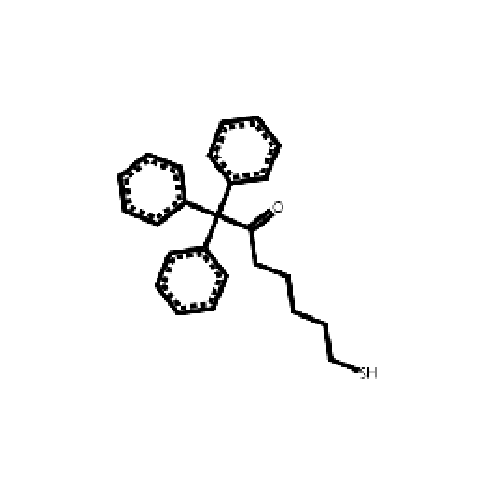 O=C(CCCCCS)C(c1ccccc1)(c1ccccc1)c1ccccc1